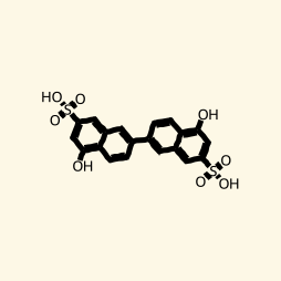 O=S(=O)(O)c1cc(O)c2ccc(-c3[c]c4cc(S(=O)(=O)O)cc(O)c4cc3)[c]c2c1